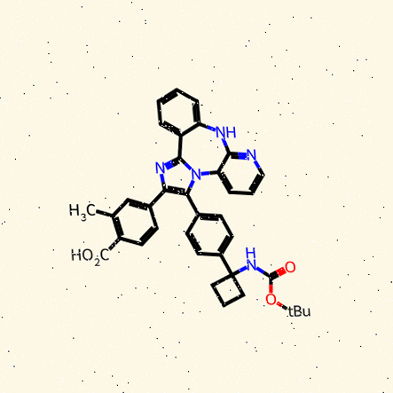 Cc1cc(-c2nc3n(c2-c2ccc(C4(NC(=O)OC(C)(C)C)CCC4)cc2)-c2cccnc2Nc2ccccc2-3)ccc1C(=O)O